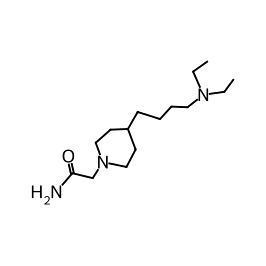 CCN(CC)CCCCC1CCN(CC(N)=O)CC1